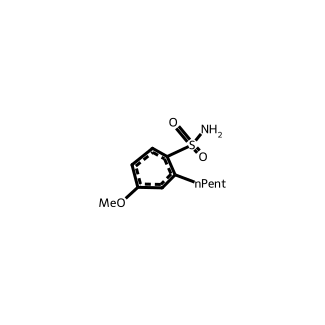 CCCCCc1cc(OC)ccc1S(N)(=O)=O